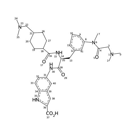 CN(C)CC(=O)N(C)c1cccc(C[C@H](NC(=O)C2CCC(CN(C)C)CC2)C(=O)Nc2ccc3[nH]c(C(=O)O)cc3c2)c1